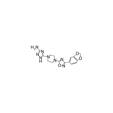 Nc1n[nH]c(N2CCN(c3nc(-c4ccc5c(c4)OCO5)no3)CC2)n1